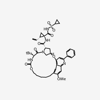 C=C[C@@H]1C[C@]1(NC(=O)[C@@H]1C[C@@H]2CN1C(=O)[C@H](C(C)(C)C)NC(=O)OCCCCCc1cc3c(cc(-c4ccccc4)nc3cc1OC)O2)C(=O)NS(=O)(=O)C1CC1